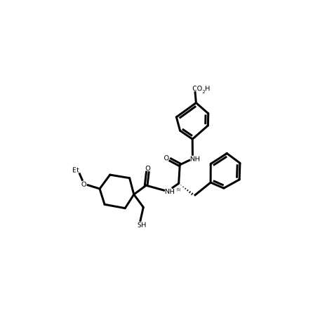 CCOC1CCC(CS)(C(=O)N[C@@H](Cc2ccccc2)C(=O)Nc2ccc(C(=O)O)cc2)CC1